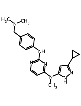 CN(C)Cc1ccc(Nc2nccc(N(C)c3cc(C4CC4)n[nH]3)n2)cc1